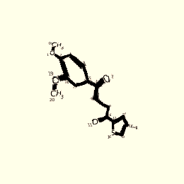 COc1ccc(C(=O)CCC(=O)c2cccs2)cc1OC